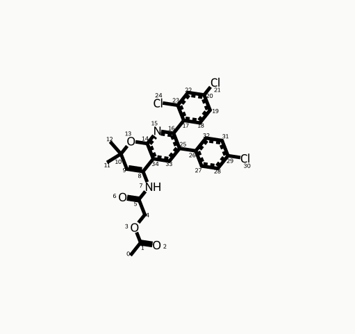 CC(=O)OCC(=O)NC1=CC(C)(C)Oc2nc(-c3ccc(Cl)cc3Cl)c(-c3ccc(Cl)cc3)cc21